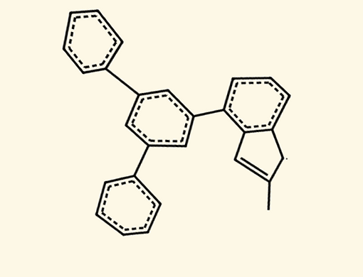 CC1=Cc2c(cccc2-c2cc(-c3ccccc3)cc(-c3ccccc3)c2)[CH]1